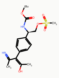 CC(=N)/C(=C(/C)O)c1ccc([C@H](COS(C)(=O)=O)NC(=O)OC(C)(C)C)cc1